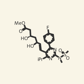 COC(=O)C[C@H](O)CC(O)/C=C/c1c(-c2ccc(F)cc2)nc(N(C)S(C)(=O)=O)nc1C(C)C